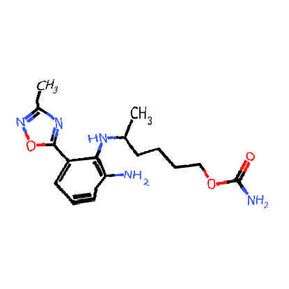 Cc1noc(-c2cccc(N)c2NC(C)CCCCOC(N)=O)n1